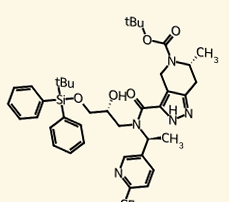 C[C@@H]1Cc2n[nH]c(C(=O)N(C[C@@H](O)CO[Si](c3ccccc3)(c3ccccc3)C(C)(C)C)[C@@H](C)c3ccc(C(F)(F)F)nc3)c2CN1C(=O)OC(C)(C)C